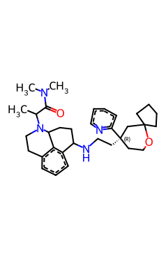 CC(C(=O)N(C)C)N1CCc2cccc3c2C1CCC3NCC[C@@]1(c2ccccn2)CCOC2(CCCC2)C1